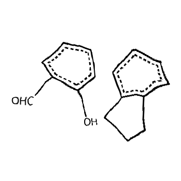 O=Cc1ccccc1O.c1ccc2c(c1)CCC2